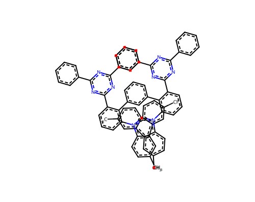 Cc1ccc2c(c1)c1cc(C(F)(F)F)ccc1n2-c1cccc(-c2nc(-c3ccccc3)nc(-c3ccccc3)n2)c1-c1cccc(-c2c(-c3nc(-c4ccccc4)nc(-c4ccccc4)n3)cccc2-n2c3ccc(C)cc3c3cc(C(F)(F)F)ccc32)c1